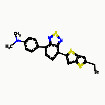 CC(C)Cc1cc2sc(-c3ccc(-c4ccc(N(C)C)cc4)c4nsnc34)cc2s1